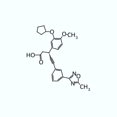 COc1ccc([C@@H](C#Cc2cccc(-c3noc(C)n3)c2)CC(=O)O)cc1OC1CCCC1